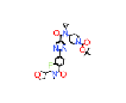 CN(CC1CCOC1)C(=O)c1ccc(-c2ncc(C(=O)N(C3CC3)C3CCN(C(=O)OC(C)(C)C)CC3)cn2)cc1F